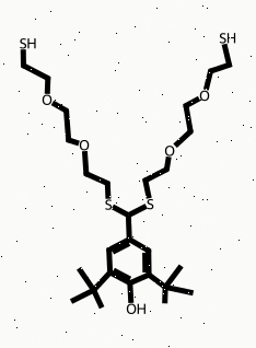 CC(C)(C)c1cc(C(SCCOCCOCCS)SCCOCCOCCS)cc(C(C)(C)C)c1O